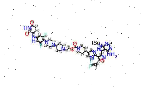 CC(C)(C)n1nc(-c2noc(C3CC3(F)F)c2-c2ncc(C3CCN(C(=O)OCCN4CCC(N5CCN(c6c(F)cc(NC7CCC(=O)NC7=O)cc6F)CC5)CC4)CC3)cn2)c2c(N)ncnc21